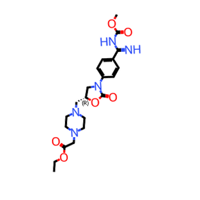 CCOC(=O)CN1CCN(C[C@@H]2CN(c3ccc(C(=N)NC(=O)OC)cc3)C(=O)O2)CC1